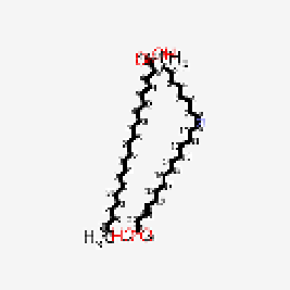 CCCCCCCC/C=C\CCCCCCCCCCCCCC(=O)O.CCCCCCCCC=CCCCCCCCCCCCC(=O)O